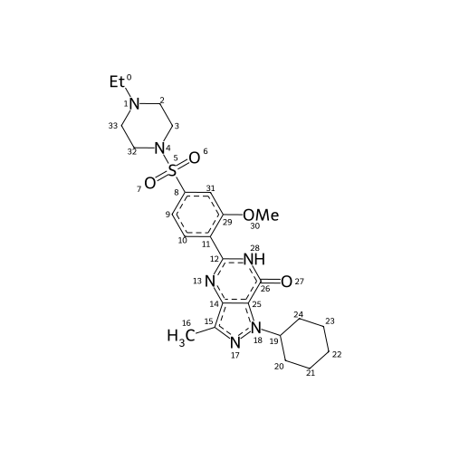 CCN1CCN(S(=O)(=O)c2ccc(-c3nc4c(C)nn(C5CCCCC5)c4c(=O)[nH]3)c(OC)c2)CC1